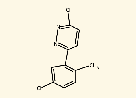 Cc1ccc(Cl)cc1-c1ccc(Cl)nn1